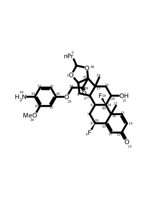 CCCC1OC2CC3C4C[C@H](F)C5=CC(=O)C=CC5(C)[C@@]4(F)C(O)CC3(C)C2(C(=O)COc2ccc(N)c(OC)c2)O1